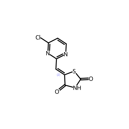 O=C1NC(=O)/C(=C/c2nccc(Cl)n2)S1